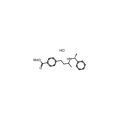 COC(=O)c1ccc(CCC(C)N[C@@H](C)c2ccccc2)cc1.Cl